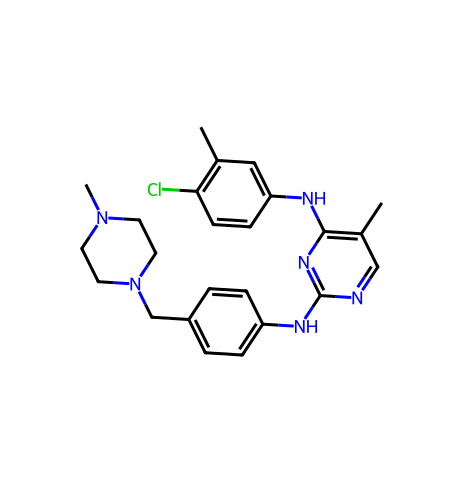 Cc1cc(Nc2nc(Nc3ccc(CN4CCN(C)CC4)cc3)ncc2C)ccc1Cl